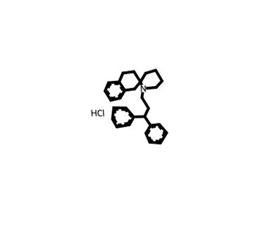 Cl.c1ccc(C(CCN2CCCCC23CCc2ccccc2C3)c2ccccc2)cc1